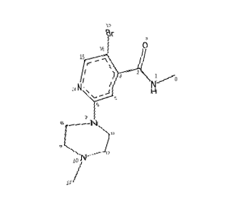 CNC(=O)c1cc(N2CCN(C)CC2)ncc1Br